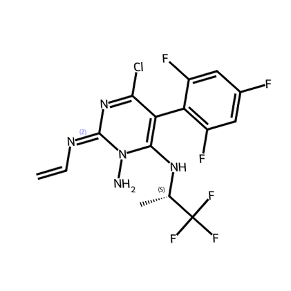 C=C/N=c1/nc(Cl)c(-c2c(F)cc(F)cc2F)c(N[C@@H](C)C(F)(F)F)n1N